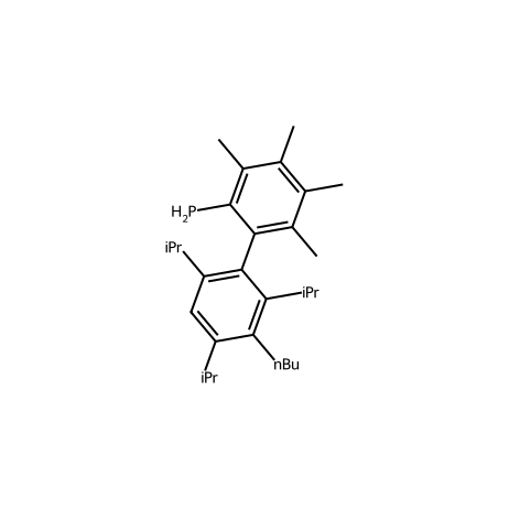 CCCCc1c(C(C)C)cc(C(C)C)c(-c2c(C)c(C)c(C)c(C)c2P)c1C(C)C